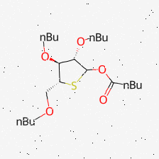 CCCCOC[C@H]1SC(OC(=O)CCCC)[C@@H](OCCCC)[C@@H]1OCCCC